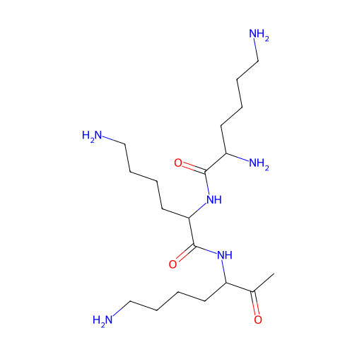 CC(=O)C(CCCCN)NC(=O)C(CCCCN)NC(=O)C(N)CCCCN